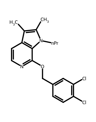 CCCn1c(C)c(C)c2ccnc(OCc3ccc(Cl)c(Cl)c3)c21